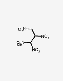 O=[N+]([O-])CC(C([N+](=O)[O-])[N+](=O)[O-])[N+](=O)[O-].[KH]